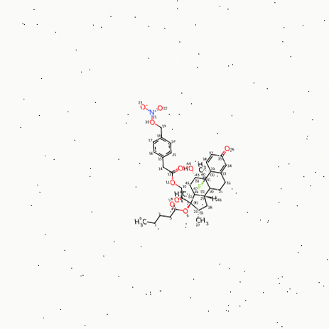 CCCCC(=O)O[C@]1(C(=O)COC(=O)Cc2ccc(CO[N+](=O)[O-])cc2)[C@@H](C)C[C@H]2C3CCC4=CC(=O)C=C[C@]4(C)[C@@]3(F)[C@@H](O)C[C@@]21C